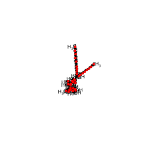 CCCCCCCCCCCCC/C=C/[C@@H](O)[C@H](CO[C@@H]1OC(CO)[C@@H](O[C@@H]2OC(CO)[C@H](O)[C@H](O[C@@H]3OC(CO)[C@@H](O[C@@H]4OC(CO)[C@H](O)[C@H](O)C4O)[C@H](O)C3NC(C)=O)C2O)[C@H](O)C1O)NC(=O)CCCCCCCCCCCCCCCCCCCCCCC